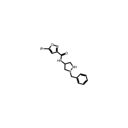 CC(C)c1cc(C(=O)NC2CNN(Cc3ccccc3)C2)no1